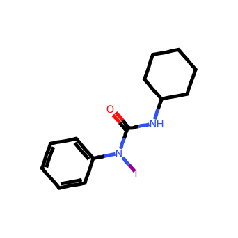 O=C(NC1CCCCC1)N(I)c1ccccc1